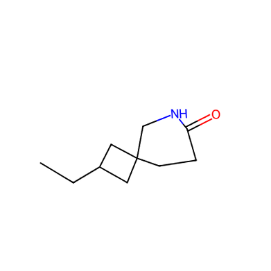 CCC1CC2(CCC(=O)NC2)C1